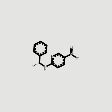 C[C@@H](Nc1ccc([N+](=O)[O-])cn1)c1ccccc1